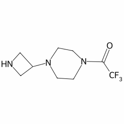 O=C(N1CCN(C2CNC2)CC1)C(F)(F)F